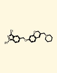 CCc1nn(C(C)C)c2ccc(COc3ccc4c(c3)OCC(CN3CCCCC3)=C4)cc12